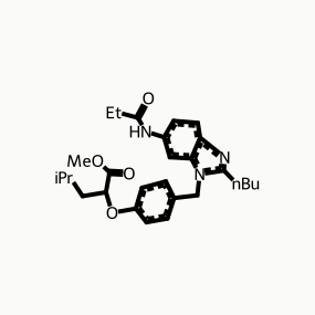 CCCCc1nc2ccc(NC(=O)CC)cc2n1Cc1ccc(OC(CC(C)C)C(=O)OC)cc1